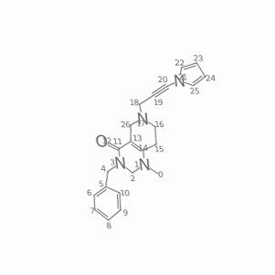 CN1CN(Cc2ccccc2)C(=O)C2=C1CCN(CC#Cn1cccc1)C2